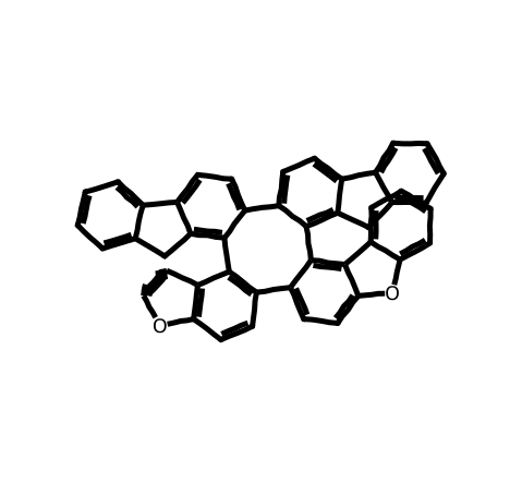 c1ccc2c(c1)Cc1c-2ccc2c1-c1c(ccc3oc4ccccc4c13)-c1ccc3oc4ccccc4c3c1-c1c-2ccc2c1Cc1ccccc1-2